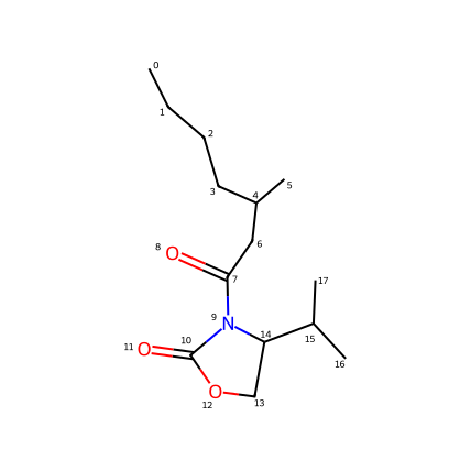 CCCCC(C)CC(=O)N1C(=O)OCC1C(C)C